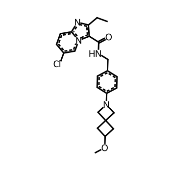 CCc1nc2ccc(Cl)cn2c1C(=O)NCc1ccc(N2CC3(CC(OC)C3)C2)cc1